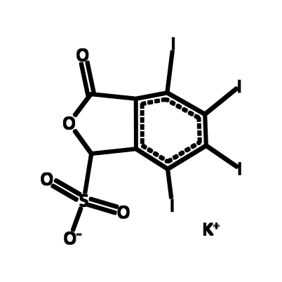 O=C1OC(S(=O)(=O)[O-])c2c(I)c(I)c(I)c(I)c21.[K+]